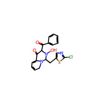 O=C1C2=CC=CCN2C(Cc2cnc(Cl)s2)N(O)C1C(=O)c1ccccc1